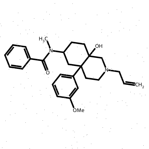 C=CCN1CCC2(c3cccc(OC)c3)CC(N(C)C(=O)c3ccccc3)CCC2(O)C1